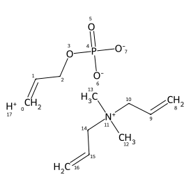 C=CCOP(=O)([O-])[O-].C=CC[N+](C)(C)CC=C.[H+]